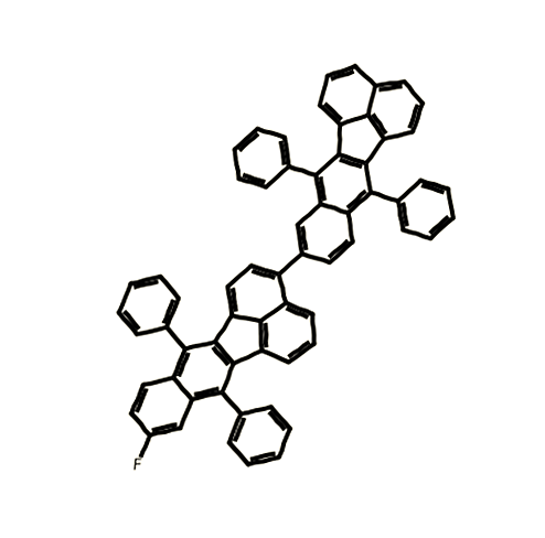 Fc1ccc2c(-c3ccccc3)c3c(c(-c4ccccc4)c2c1)-c1cccc2c(-c4ccc5c(-c6ccccc6)c6c(c(-c7ccccc7)c5c4)-c4cccc5cccc-6c45)ccc-3c12